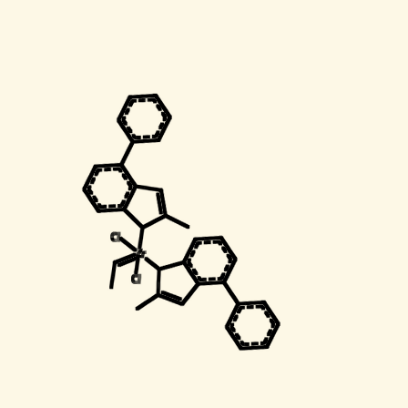 C[CH]=[Zr]([Cl])([Cl])([CH]1C(C)=Cc2c(-c3ccccc3)cccc21)[CH]1C(C)=Cc2c(-c3ccccc3)cccc21